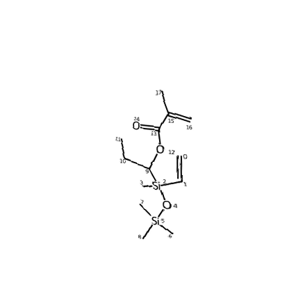 C=C[Si](C)(O[Si](C)(C)C)C(CC)OC(=O)C(=C)C